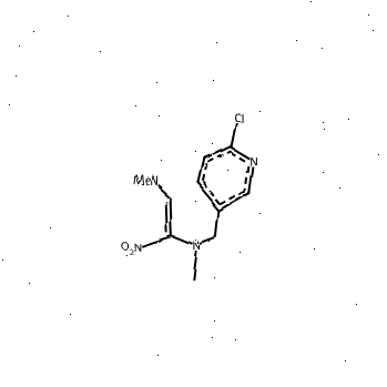 CNC=C(N(C)Cc1ccc(Cl)nc1)[N+](=O)[O-]